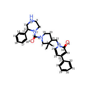 CC1(C)CN(C(=O)N2CCNCC2c2ccccc2)CCC1Cn1ccc(-c2ccccc2)cc1=O